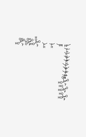 CPC.CPC.CPC.CPC.CPC.CPC.CPC.CPC.CPC.CPC.CPC.CPC.O=P(O)(O)F.O=P(O)(O)F.O=P(O)(O)F.O=P(O)(O)F.O=P(O)(O)F.O=P(O)(O)F